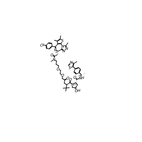 Cc1ncsc1-c1ccc([C@H](C)NC(=O)[C@@H]2C[C@@H](O)CN2C(=O)C(CC(=O)COCCOCCCN(C)C(=O)C[C@@H]2N=C(c3ccc(Cl)cc3)c3c(sc(C)c3C)-n3c(C)nnc32)C(C)(C)C)cc1